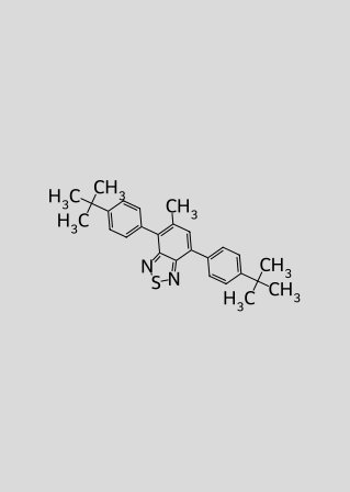 Cc1cc(-c2ccc(C(C)(C)C)cc2)c2nsnc2c1-c1ccc(C(C)(C)C)cc1